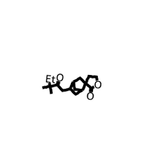 CCC(C)(C)C(=O)CC1CC2CC1CC21CCOC1=O